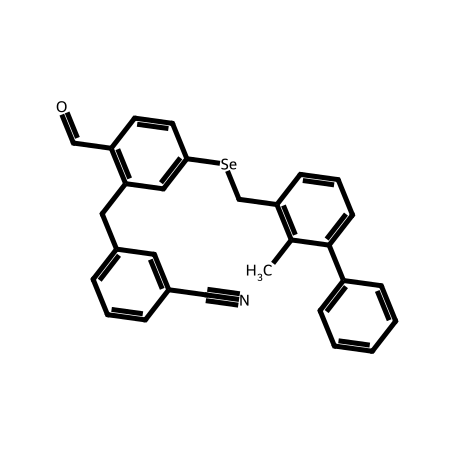 Cc1c(C[Se]c2ccc(C=O)c(Cc3cccc(C#N)c3)c2)cccc1-c1ccccc1